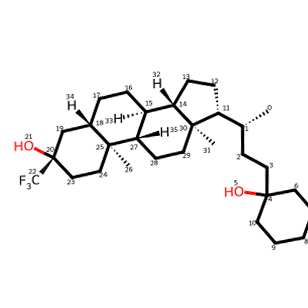 C[C@H](CCC1(O)CCCCC1)[C@H]1CC[C@H]2[C@@H]3CC[C@H]4C[C@](O)(C(F)(F)F)CC[C@]4(C)[C@H]3CC[C@]12C